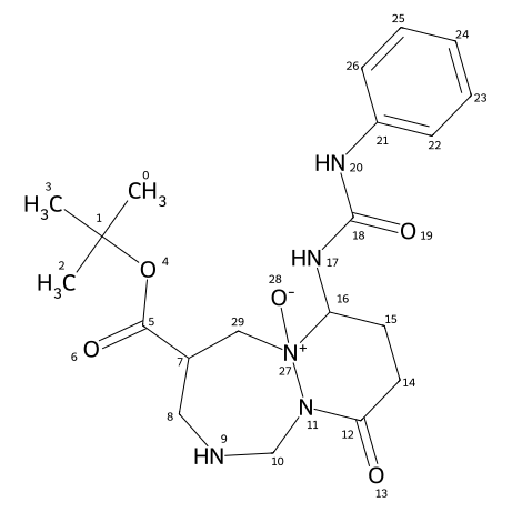 CC(C)(C)OC(=O)C1CNCN2C(=O)CCC(NC(=O)Nc3ccccc3)[N+]2([O-])C1